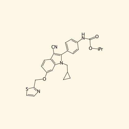 CC(C)OC(=O)Nc1ccc(-c2c(C#N)c3ccc(OCc4nccs4)cc3n2CC2CC2)cc1